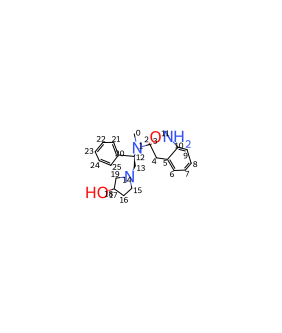 CN(C(=O)Cc1ccccc1N)[C@@H](CN1CCC(O)C1)c1ccccc1